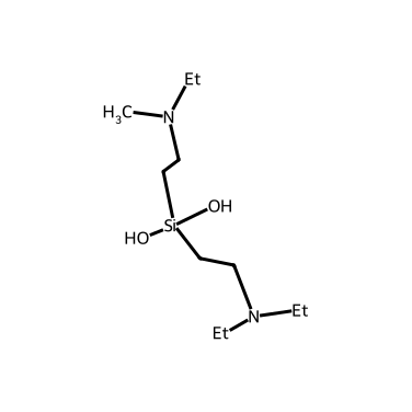 CCN(C)CC[Si](O)(O)CCN(CC)CC